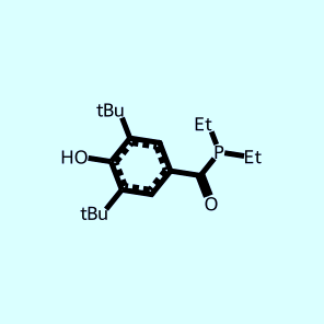 CCP(CC)C(=O)c1cc(C(C)(C)C)c(O)c(C(C)(C)C)c1